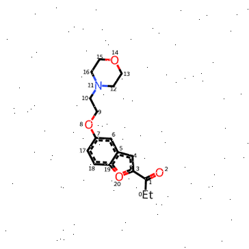 CCC(=O)c1cc2cc(OCCN3CCOCC3)ccc2o1